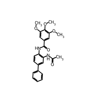 COc1cc(C(=O)Nc2ccc(-c3ccccc3)cc2NC(C)=O)cc(OC)c1OC